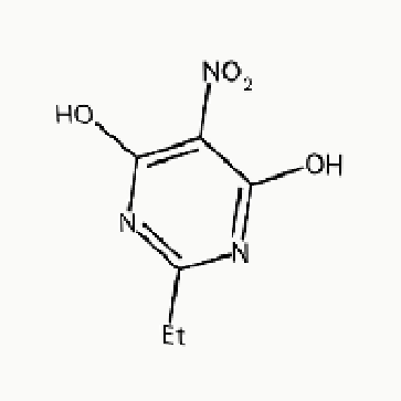 CCc1nc(O)c([N+](=O)[O-])c(O)n1